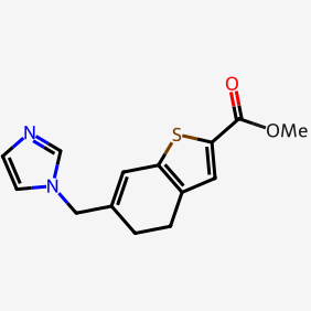 COC(=O)c1cc2c(s1)C=C(Cn1ccnc1)CC2